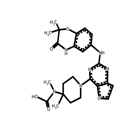 CN(C(=O)O)C1(C)CCN(c2nc(Nc3ccc4c(c3)NC(=O)C(C)(C)O4)nc3ccoc23)CC1